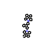 c1ccc(C2(c3ccccc3)c3ccccc3N(c3ccc4c5ccc(N6c7ccccc7C(c7ccccc7)(c7ccccc7)c7ccccc76)cc5c5ccccc5c4c3)c3ccccc32)cc1